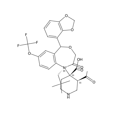 CC(=O)[C@H]1CNCC[C@]1(C(=O)O)[N@+]1(CC(C)(C)C)C(=O)COC(c2cccc3c2OCO3)c2cc(OC(F)(F)F)ccc21